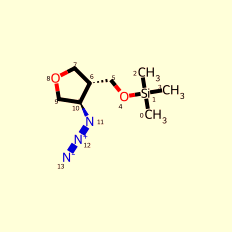 C[Si](C)(C)OC[C@H]1COC[C@@H]1N=[N+]=[N-]